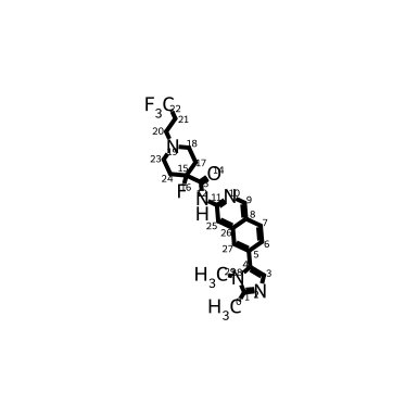 Cc1ncc(-c2ccc3cnc(NC(=O)C4(F)CCN(CCC(F)(F)F)CC4)cc3c2)n1C